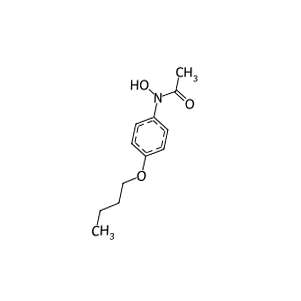 CCCCOc1ccc(N(O)C(C)=O)cc1